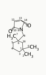 CC1(C)CCCC(C)(CN2C(=O)C=CC2=O)C1